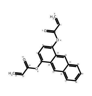 C=CC(=O)Oc1ccc(OC(=O)C=C)c2cc3ccccc3cc12